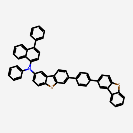 c1ccc(-c2ccc(N(c3ccccc3)c3ccc4sc5cc(-c6ccc(-c7ccc8sc9ccccc9c8c7)cc6)ccc5c4c3)c3ccccc23)cc1